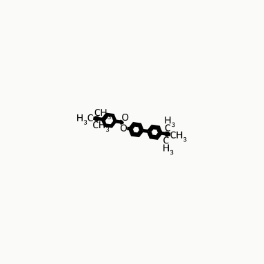 CC(C)(C)C1=CCC(C(=O)Oc2ccc(-c3ccc(C(C)(C)C)cc3)cc2)CC1